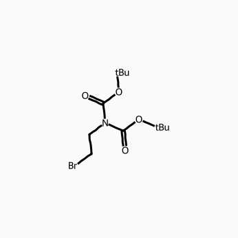 CC(C)(C)OC(=O)N(CCBr)C(=O)OC(C)(C)C